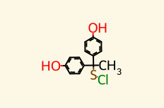 CC(SCl)(c1ccc(O)cc1)c1ccc(O)cc1